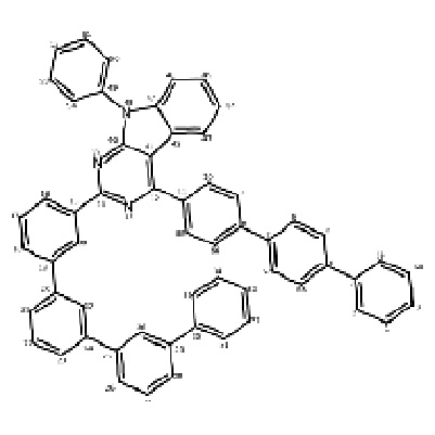 c1ccc(-c2ccc(-c3ccc(-c4nc(-c5cccc(-c6cccc(-c7cccc(-c8ccccc8)c7)c6)c5)nc5c4c4ccccc4n5-c4ccccc4)cc3)cc2)cc1